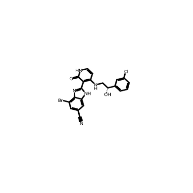 N#Cc1cc(Br)c2nc(-c3c(NC[C@@H](O)c4cccc(Cl)c4)cc[nH]c3=O)[nH]c2c1